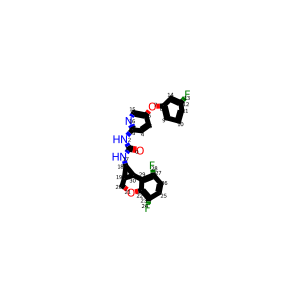 O=C(Nc1ccc(Oc2cccc(F)c2)cn1)NC1C2COc3c(F)ccc(F)c3C21